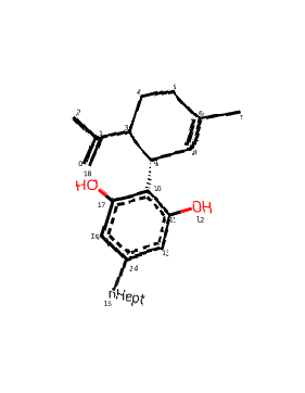 C=C(C)C1CCC(C)=C[C@@H]1c1c(O)cc(CCCCCCC)cc1O